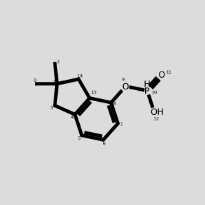 CC1(C)Cc2cccc(O[PH](=O)O)c2C1